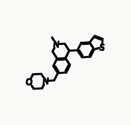 CN1Cc2cc(CN3CCOCC3)ccc2C(c2ccc3sccc3c2)C1